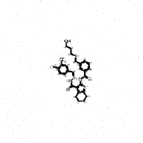 O=C(Nc1sc2c(c1C(=O)N/N=C\c1ccc(Cl)c(C(F)(F)F)c1)CCCC2)c1cccc(CSCCCO)c1